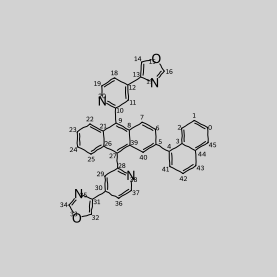 c1ccc2c(-c3ccc4c(-c5cc(-c6cocn6)ccn5)c5ccccc5c(-c5cc(-c6cocn6)ccn5)c4c3)cccc2c1